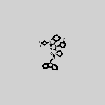 O=C(NC1CC(F)(F)C1)[C@H](c1ccccc1Cl)N(C(=O)[C@@H]1CCCN1C(=O)OCC1c2ccccc2-c2ccccc21)c1cccc(F)c1